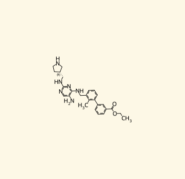 CCOC(=O)c1cccc(-c2cccc(CNc3nc(NC[C@@H]4CCNC4)ncc3N)c2C)c1